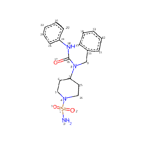 NS(=O)(=O)N1CCC(N(Cc2ccccc2)C(=O)Nc2ccccc2)CC1